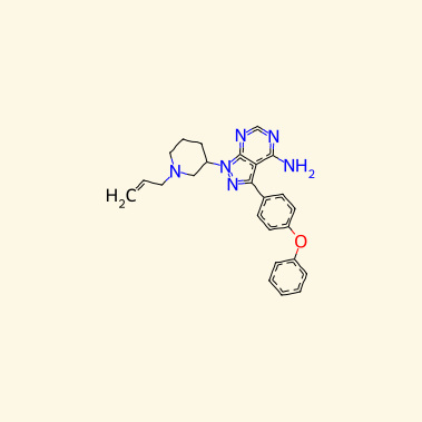 C=CCN1CCCC(n2nc(-c3ccc(Oc4ccccc4)cc3)c3c(N)ncnc32)C1